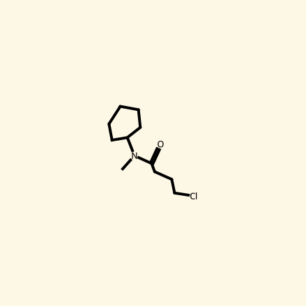 CN(C(=O)CCCCl)C1CCCCC1